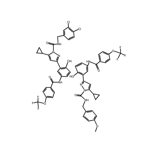 COc1ccc(CNC(=O)n2nc(-c3cc(NC(=O)c4ccc(OC(F)(F)F)cc4)ccc3O)cc2C2CC2)cc1.O=C(Nc1ccc(O)c(-c2cc(C3CC3)n(C(=O)NCc3ccc(Cl)c(Cl)c3)n2)c1)c1ccc(OC(F)(F)F)cc1